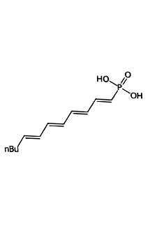 CCCCC=CC=CC=CC=CP(=O)(O)O